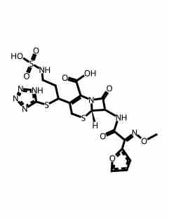 CON=C(C(=O)NC1C(=O)N2C(C(=O)O)=C(C(CCNS(=O)(=O)O)Sc3nnn[nH]3)CS[C@@H]12)c1ccco1